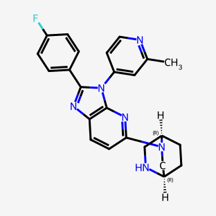 Cc1cc(-n2c(-c3ccc(F)cc3)nc3ccc(N4C[C@H]5CC[C@@H]4CN5)nc32)ccn1